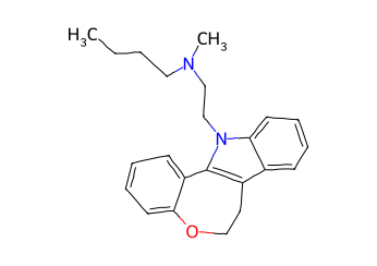 CCCCN(C)CCn1c2c(c3ccccc31)CCOc1ccccc1-2